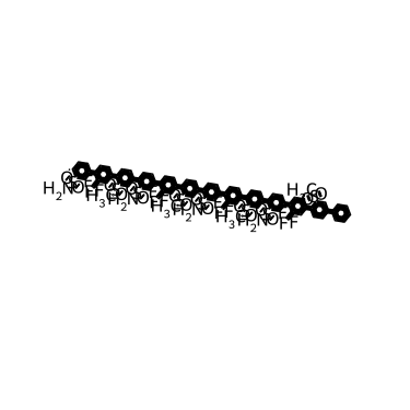 CS(=O)(=O)c1cc(-c2ccccc2)ccc1-c1ccc(-c2ccc(-c3ccc(-c4ccc(-c5ccc(-c6ccc(-c7ccc(-c8ccc(-c9ccc(-c%10ccc(-c%11cc[c]c(S(N)(=O)=O)c%11)c(C(F)(F)F)c%10)c(S(C)(=O)=O)c9)c(S(N)(=O)=O)c8)c(C(F)(F)F)c7)c(S(C)(=O)=O)c6)c(S(N)(=O)=O)c5)c(C(F)(F)F)c4)c(S(C)(=O)=O)c3)c(S(N)(=O)=O)c2)c(C(F)(F)F)c1